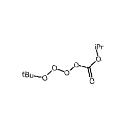 CC(C)OC(=O)OOOOC(C)(C)C